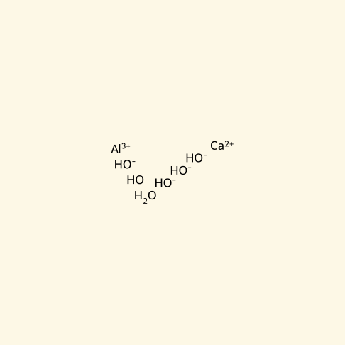 O.[Al+3].[Ca+2].[OH-].[OH-].[OH-].[OH-].[OH-]